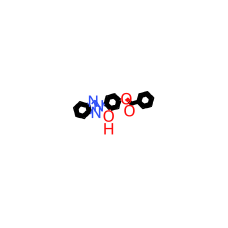 O=C(Oc1ccc(-n2nc3ccccc3n2)c(O)c1)c1ccccc1